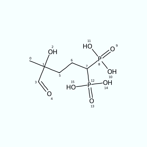 CC(O)(C=O)CCC(P(=O)(O)O)P(=O)(O)O